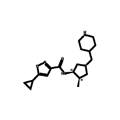 C[C@@H]1CN(CC2CCNCC2)C[C@@H]1NC(=O)c1cc(C2CC2)on1